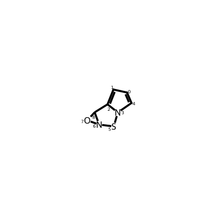 c1cc2n(c1)SN1OC21